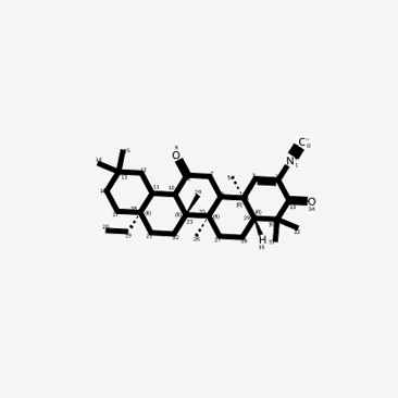 [C-]#[N+]C1=C[C@]2(C)C3CC(=O)C4C5CC(C)(C)CC[C@]5(CC)CC[C@@]4(C)[C@]3(C)CC[C@H]2C(C)(C)C1=O